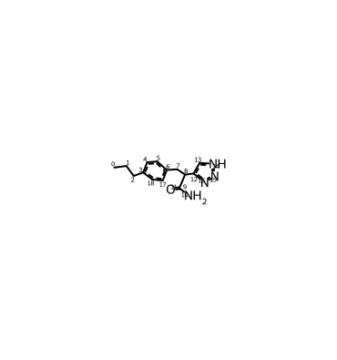 CCCc1ccc(CC(C(N)=O)c2c[nH]nn2)cc1